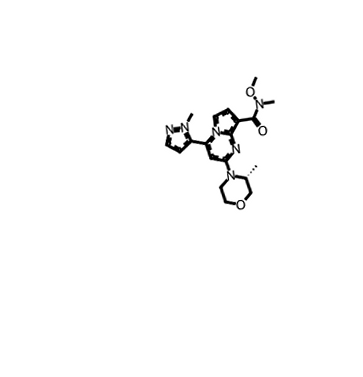 CON(C)C(=O)c1ccn2c(-c3ccnn3C)cc(N3CCOC[C@H]3C)nc12